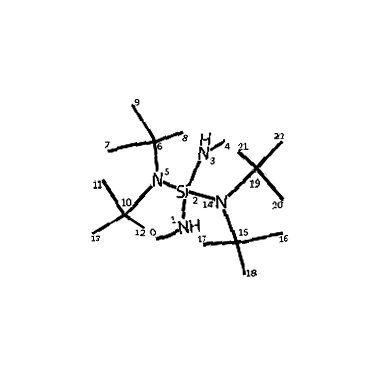 CN[Si](NC)(N(C(C)(C)C)C(C)(C)C)N(C(C)(C)C)C(C)(C)C